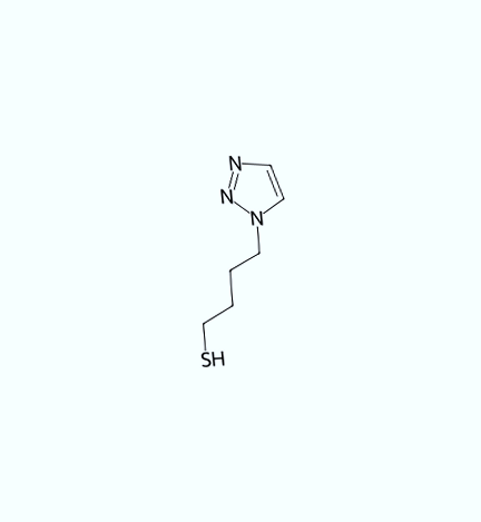 SCCCCn1ccnn1